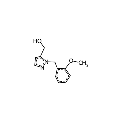 COc1ccccc1Cn1nccc1CO